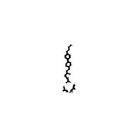 C=C(CO)C(=O)OCC(COC(=O)C(=C)CO)C1OCC(CCC2CCC(c3ccc(CCCCC)cc3)CC2)CO1